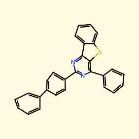 c1ccc(-c2ccc(-c3nc(-c4ccccc4)c4sc5ccccc5c4n3)cc2)cc1